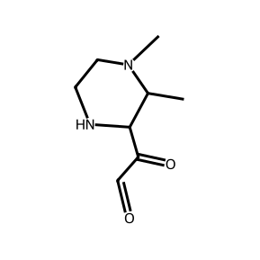 CC1C(C(=O)C=O)NCCN1C